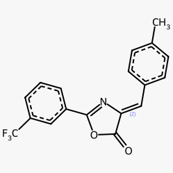 Cc1ccc(/C=C2\N=C(c3cccc(C(F)(F)F)c3)OC2=O)cc1